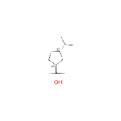 CC(C)[C@H]1CC[C@H](C(C)(C)O)C1